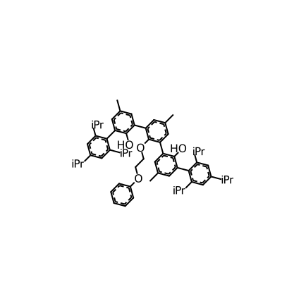 Cc1cc(-c2cc(C)cc(-c3cc(C)cc(-c4c(C(C)C)cc(C(C)C)cc4C(C)C)c3O)c2OCCOc2ccccc2)c(O)c(-c2c(C(C)C)cc(C(C)C)cc2C(C)C)c1